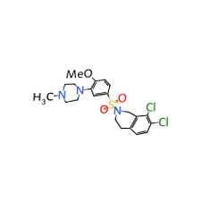 COc1ccc(S(=O)(=O)N2CCc3ccc(Cl)c(Cl)c3C2)cc1N1CCN(C)CC1